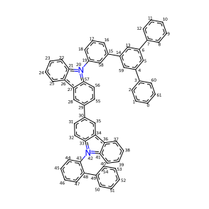 c1ccc(-c2cc(-c3ccccc3)cc(-c3cccc(-n4c5ccccc5c5cc(-c6ccc7c(c6)c6ccccc6n7-c6ccccc6-c6ccccc6)ccc54)c3)c2)cc1